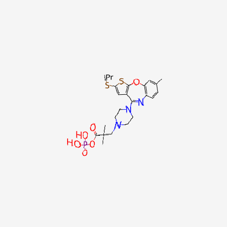 Cc1ccc2c(c1)Oc1sc(SC(C)C)cc1C(N1CCN(CC(C)(C)C(=O)OP(=O)(O)O)CC1)=N2